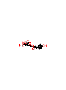 O=C(/C=C/c1ccc(O)cc1)OCC1C[C@@](O)(CCO)C(=O)O1